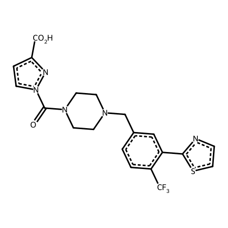 O=C(O)c1ccn(C(=O)N2CCN(Cc3ccc(C(F)(F)F)c(-c4nccs4)c3)CC2)n1